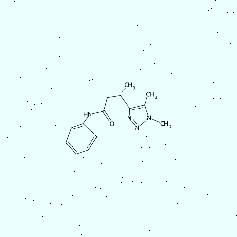 Cc1c([C@@H](C)CC(=O)Nc2ccccc2)nnn1C